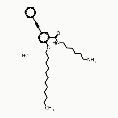 CCCCCCCCCCCCOc1ccc(C#Cc2ccccc2)cc1C(=O)NCCCCCCN.Cl